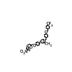 C[C@H]1CN(c2ccc(OC[C@@H]3CCn4cc([N+](=O)[O-])nc4O3)cc2)CCN1Cc1ccc(OCc2ccc(C(F)(F)F)cc2)cc1